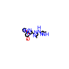 COc1ccc(CN2C3CC2CN(c2ccc(-c4nc(C)cc(Nc5cc(C)[nH]n5)n4)cn2)C3)nc1